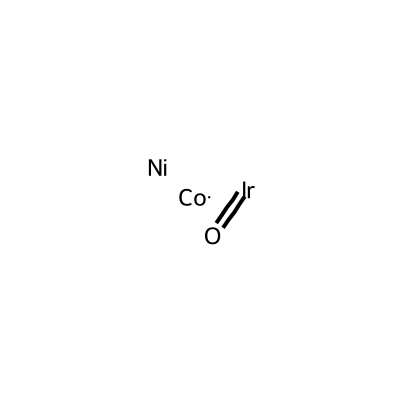 [Co].[Ni].[O]=[Ir]